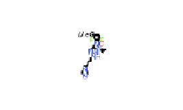 COc1ccc(F)c(N2Cc3cnc(NCCCCCN4CCN(C)CC4)nc3N(C3CC3)C2=O)c1F